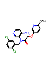 COc1ccc(OCC(=O)N(Cc2cc(Cl)ccc2Cl)c2cnccc2N)cn1